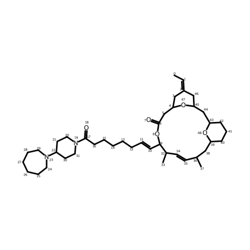 C/C=C1\CC2CC(=O)OC(/C=C/CCCCCC(=O)N3CCC(N4CCCCCC4)CC3)C(C)/C=C/C(C)CC3CCCC(CC(C1)O2)O3